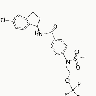 CS(=O)(=O)N(CCOC(F)(F)F)c1ccc(C(=O)N[C@@H]2CCc3cc(Cl)ccc32)cc1